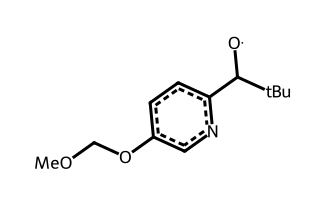 COCOc1ccc(C([O])C(C)(C)C)nc1